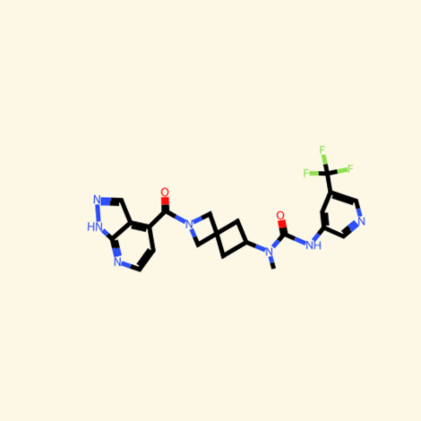 CN(C(=O)Nc1cncc(C(F)(F)F)c1)C1CC2(C1)CN(C(=O)c1ccnc3[nH]ncc13)C2